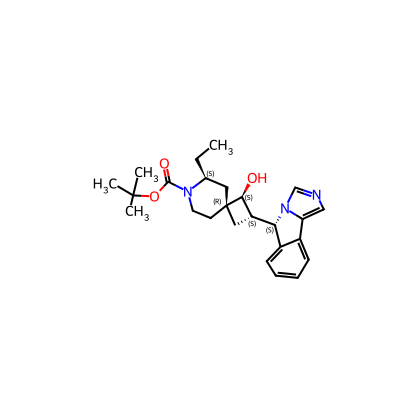 CC[C@H]1C[C@]2(CCN1C(=O)OC(C)(C)C)C[C@@H]([C@H]1c3ccccc3-c3cncn31)[C@@H]2O